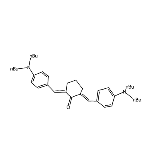 CCCCN(CCCC)c1ccc(C=C2CCCC(=Cc3ccc(N(CCCC)CCCC)cc3)C2=O)cc1